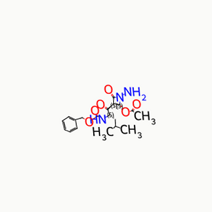 CC(=O)O[C@H]1[C@@H](C(=O)[C@H](CC(C)C)NC(=O)OCc2ccccc2)C(=O)N1N